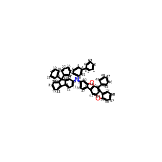 c1ccc(-c2cccc(N(c3ccc4c(c3)C(c3ccccc3)(c3ccccc3)c3ccccc3-4)c3ccc4c(c3)oc3c(-c5ccccc5)c5c(cc34)oc3ccccc35)c2)cc1